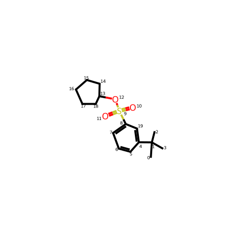 CC(C)(C)c1cccc(S(=O)(=O)OC2CCCCC2)c1